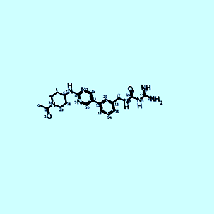 CC(=O)N1CCC(Nc2ncc(-c3cccc(CNC(=O)NC(=N)N)c3)cn2)CC1